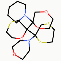 C1CCN(C2(C3(C4(N5CCOCC5)CSCCS4)CSCCO3)COCCO2)CC1